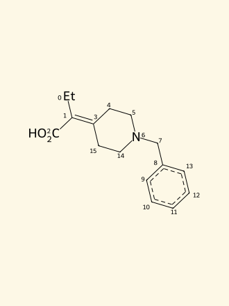 CCC(C(=O)O)=C1CCN(Cc2ccccc2)CC1